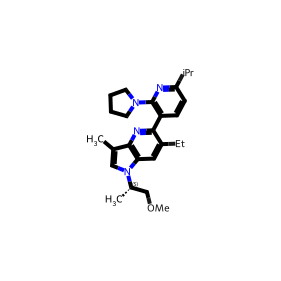 CCc1cc2c(nc1-c1ccc(C(C)C)nc1N1CCCC1)c(C)cn2[C@@H](C)COC